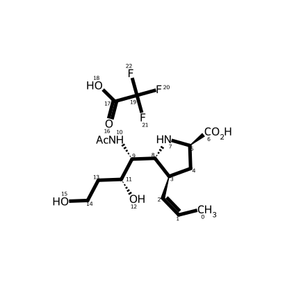 C/C=C\[C@@H]1C[C@H](C(=O)O)N[C@H]1[C@@H](NC(C)=O)[C@H](O)CCO.O=C(O)C(F)(F)F